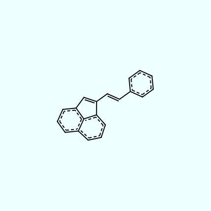 C(=Cc1ccccc1)C1=Cc2cccc3cccc1c23